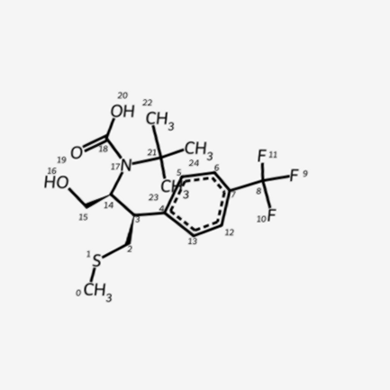 CSC[C@H](c1ccc(C(F)(F)F)cc1)[C@@H](CO)N(C(=O)O)C(C)(C)C